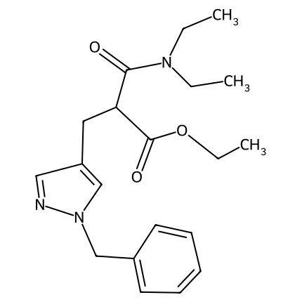 CCOC(=O)C(Cc1cnn(Cc2ccccc2)c1)C(=O)N(CC)CC